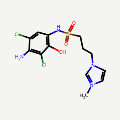 C[n+]1ccn(CCCS(=O)(=O)Nc2cc(Cl)c(N)c(Cl)c2O)c1